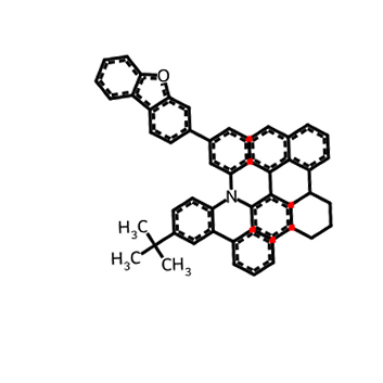 CC(C)(C)c1ccc(N(c2cccc(-c3ccc4c(c3)oc3ccccc34)c2)c2ccccc2-c2cccc3cccc(C4CCCCC4)c23)c(-c2ccccc2)c1